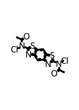 CC(=O)N(Cl)c1nc2cc3nc(N(Cl)C(C)=O)sc3cc2s1